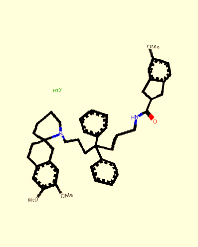 COc1ccc2c(c1)CC(C(=O)NCCCC(CCCN1CCCCC13CCc1cc(OC)c(OC)cc1C3)(c1ccccc1)c1ccccc1)C2.Cl